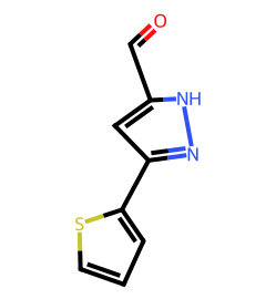 O=Cc1cc(-c2cccs2)n[nH]1